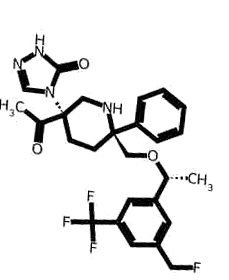 CC(=O)[C@]1(n2cn[nH]c2=O)CC[C@@](CO[C@H](C)c2cc(CF)cc(C(F)(F)F)c2)(c2ccccc2)NC1